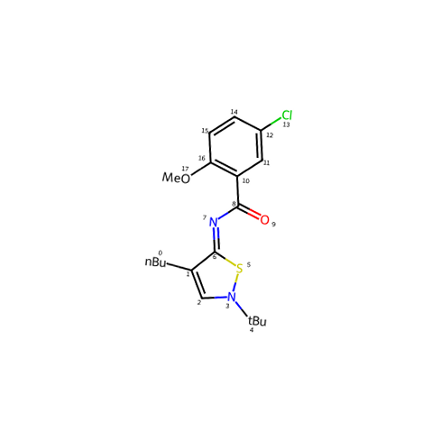 CCCCc1cn(C(C)(C)C)sc1=NC(=O)c1cc(Cl)ccc1OC